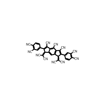 N#CC(C#N)=C1C(c2ccc(C#N)c(C#N)c2)=C(C#N)c2c1cc1c(c2C#N)C(C#N)=C(c2ccc(C#N)c(C#N)c2)C1=C(C#N)C#N